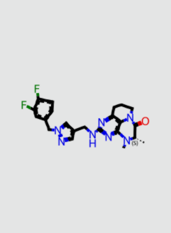 C[C@H]1C(=O)N2CCCc3nc(NCc4cnn(Cc5ccc(F)c(F)c5)c4)nc(c32)N1C